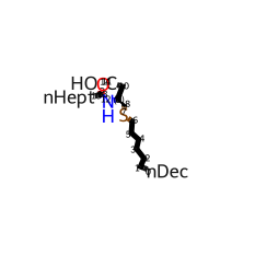 CCCCCCCCCCCCCCCCSC[C@H](CC(=O)O)NC(=O)CCCCCCC